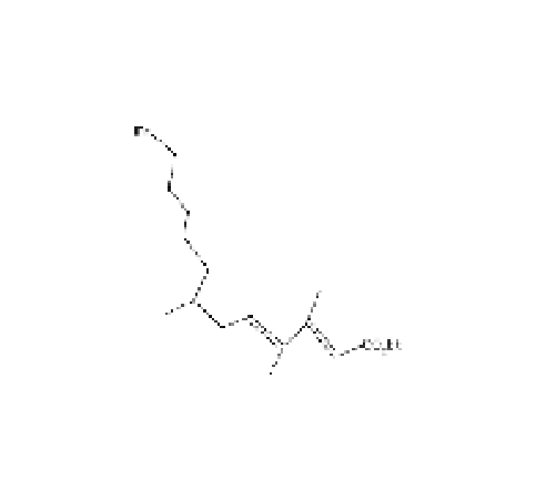 CCOC(=O)/C=C(C)/C(C)=C/CC(C)CCCCCC(C)C